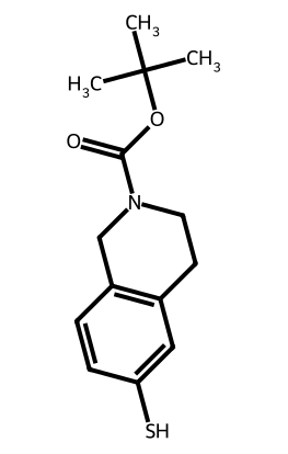 CC(C)(C)OC(=O)N1CCc2cc(S)ccc2C1